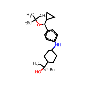 CC(C)(C)C(C)(C)OB(c1ccc(NC2CCC([C@](C)(O)C(C)(C)C)CC2)cc1)C1CC1